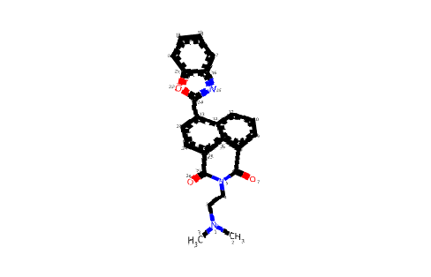 CN(C)CCN1C(=O)c2cccc3c(-c4nc5ccccc5o4)ccc(c23)C1=O